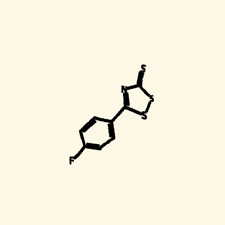 Fc1ccc(-c2nc(=S)ss2)cc1